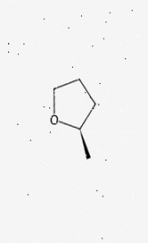 C[C@@H]1[CH]CCO1